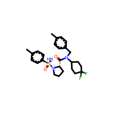 Cc1ccc(CN(C(=O)[C@@H]2CCCN2S(=N)(=O)c2ccc(C)cc2)C2CCC(F)(F)CC2)cc1